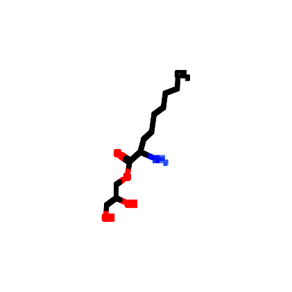 CCCCCCCC(N)C(=O)OCC(O)CO